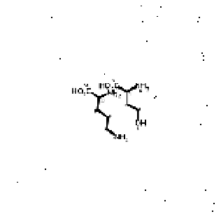 NC(CCO)C(=O)O.NCCCC(N)C(=O)O